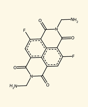 NCN1C(=O)c2cc(F)c3c4c(c(F)cc(c24)C1=O)C(=O)N(CN)C3=O